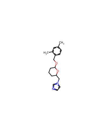 Cc1ccc(COC2CCCC(Cn3ccnc3)O2)c(C)c1